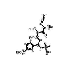 CCCCCCN(C(=O)[C@@H](N=[N+]=[N-])[C@@H](C)CC)[C@H](C[C@@H](O[Si](C)(C)C(C)(C)C)c1nc(C(=O)OCC)cs1)C(C)C